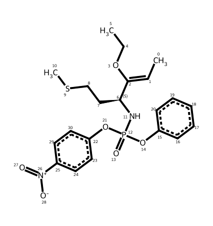 CC=C(OCC)[C@H](CCSC)NP(=O)(Oc1ccccc1)Oc1ccc([N+](=O)[O-])cc1